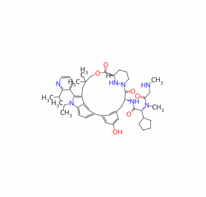 CCn1c(-c2cccnc2C(C)C)c2c3cc(ccc31)-c1cc(O)cc(c1)C[C@H](NC(=O)[C@H](C1CCCC1)N(C)C(=O)CNC)C(=O)N1CCC[C@H](N1)C(=O)OCC(C)(C)C2